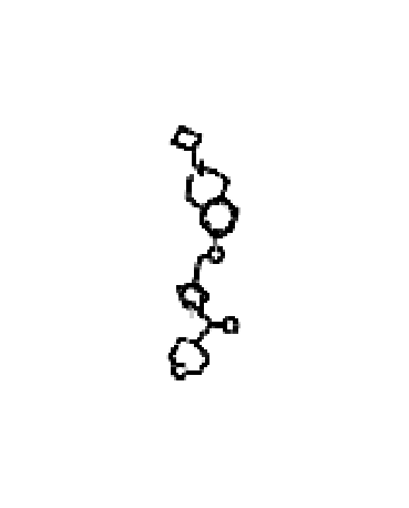 O=C(C1CCOCC1)n1ccc(COc2ccc3c(c2)CCN(C2CCC2)CC3)c1